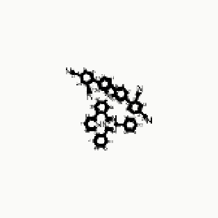 N#Cc1ccc(-c2ccc3c4ccc(-c5ccc(C#N)cc5C#N)cc4n(-c4ccc(-c5ccccn5)c(-c5nc(-c6ccccc6)nc(-c6ccccc6)n5)c4)c3c2)c(C#N)c1